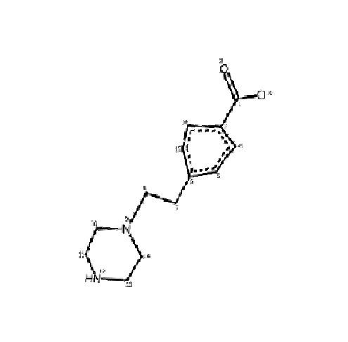 [O]C(=O)c1ccc(CCN2CCNCC2)cc1